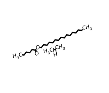 CCCCCCCCCCCCCCCCOC(=O)CCCCC.CNC